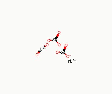 O=[Si]([O-])[O-].O=[Si]([O-])[O-].[O]=[U+2]=[O].[Pb+2]